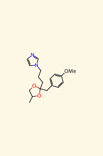 COc1ccc(CC2(CCCn3ccnc3)OCC(C)O2)cc1